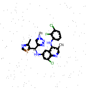 Cc1ncsc1[C@H](Nc1cc(Cl)c2ncc(C#N)c(Nc3cccc(Cl)c3F)c2c1)c1cn(C(C)C)nn1